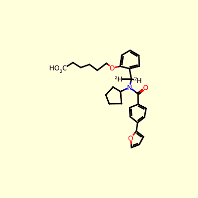 [2H]C([2H])(c1ccccc1OCCCCCC(=O)O)N(C(=O)c1ccc(-c2ccco2)cc1)C1CCCC1